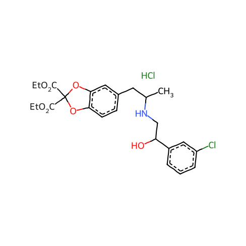 CCOC(=O)C1(C(=O)OCC)Oc2ccc(CC(C)NCC(O)c3cccc(Cl)c3)cc2O1.Cl